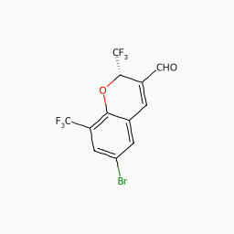 O=CC1=Cc2cc(Br)cc(C(F)(F)F)c2O[C@@H]1C(F)(F)F